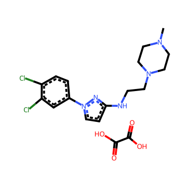 CN1CCN(CCNc2ccn(-c3ccc(Cl)c(Cl)c3)n2)CC1.O=C(O)C(=O)O